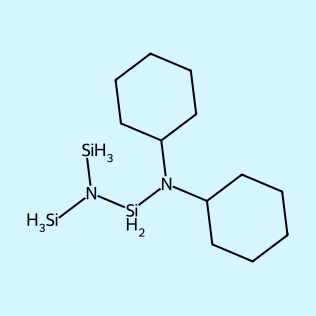 [SiH3]N([SiH3])[SiH2]N(C1CCCCC1)C1CCCCC1